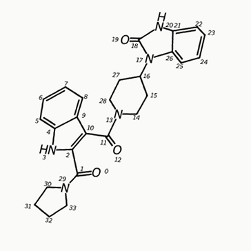 O=C(c1[nH]c2ccccc2c1C(=O)N1CCC(n2c(=O)[nH]c3ccccc32)CC1)N1CCCC1